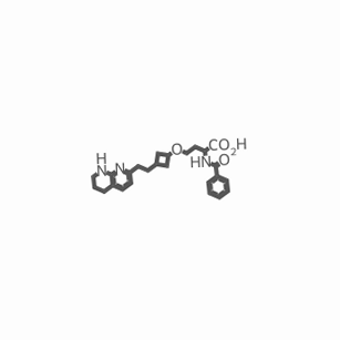 O=C(NC(CCOC1CC(CCc2ccc3c(n2)NCCC3)C1)C(=O)O)c1ccccc1